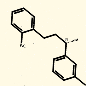 CC(=O)c1ccccc1CC[C@H](C)c1cccc(C)c1